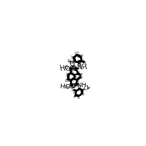 COc1cccc(C)c1NC(=O)c1ccc(C(=O)Nc2c(C)cccc2OC)c2c(C(=O)O)ccc(C(=O)O)c12